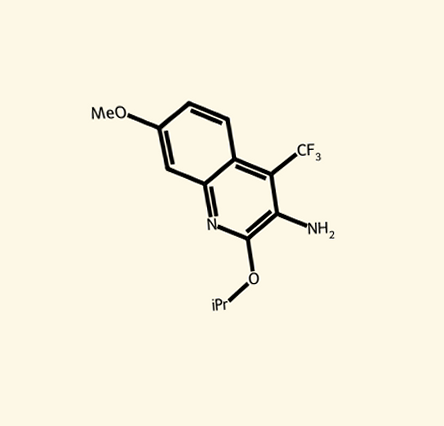 COc1ccc2c(C(F)(F)F)c(N)c(OC(C)C)nc2c1